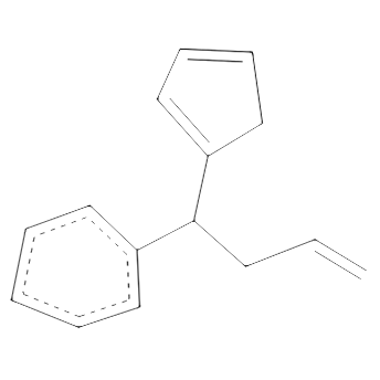 C=CCC(C1=CC=CC1)c1ccccc1